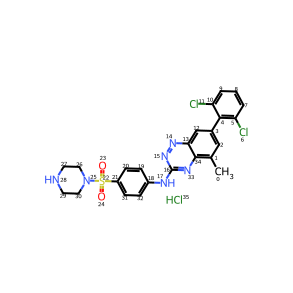 Cc1cc(-c2c(Cl)cccc2Cl)cc2nnc(Nc3ccc(S(=O)(=O)N4CCNCC4)cc3)nc12.Cl